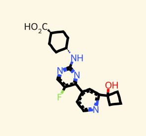 O=C(O)[C@H]1CC[C@H](Nc2ncc(F)c(-c3ccnc(C4(O)CCC4)c3)n2)CC1